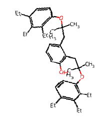 CCc1ccc(OC(C)(C)Cc2cccc(O)c2CC(C)(C)Oc2ccc(CC)c(CC)c2CC)c(CC)c1CC